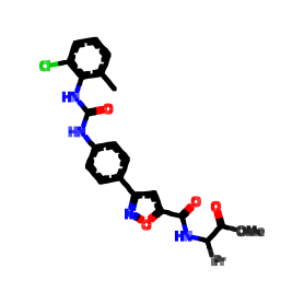 COC(=O)C(NC(=O)c1cc(-c2ccc(NC(=O)Nc3c(C)cccc3Cl)cc2)no1)C(C)C